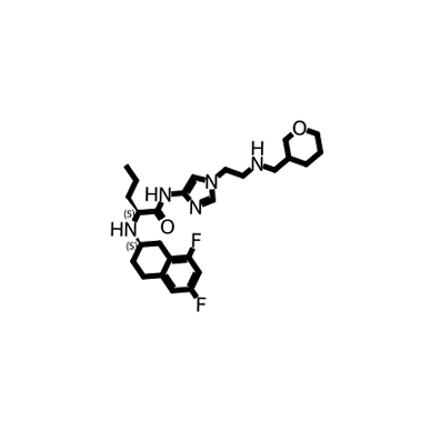 CCC[C@H](N[C@H]1CCc2cc(F)cc(F)c2C1)C(=O)Nc1cn(CCNCC2CCCOC2)cn1